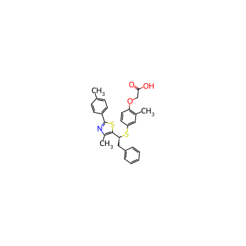 Cc1ccc(-c2nc(C)c([C@H](Cc3ccccc3)Sc3ccc(OCC(=O)O)c(C)c3)s2)cc1